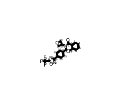 O=C(c1ccccc1Cl)N(Cc1ccc(-c2noc(C(F)(F)F)n2)cc1)C1COC1